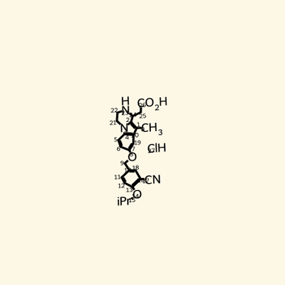 Cc1c2n(c3ccc(OCc4ccc(OC(C)C)c(C#N)c4)cc13)CCNC2CC(=O)O.Cl